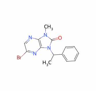 CC(c1ccccc1)n1c(=O)n(C)c2ncc(Br)nc21